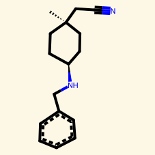 C[C@]1(CC#N)CC[C@@H](NCc2ccccc2)CC1